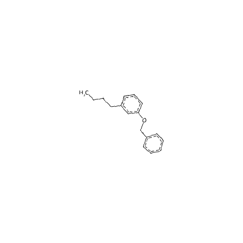 CC[CH]Cc1cccc(OCc2ccccc2)c1